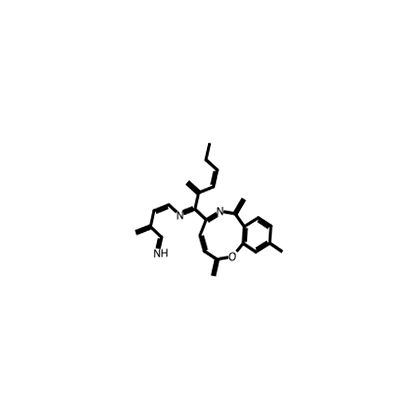 C=C(C=N)/C=C\N=C(/C(=C)/C=C\CC)c1ccc(=C)oc2cc(C)ccc2c(=C)n1